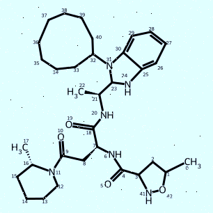 CC1CC(C(=O)N[C@@H](CC(=O)N2CCCC[C@@H]2C)C(=O)N[C@@H](C)C2Nc3ccccc3N2C2CCCCCCCC2)NO1